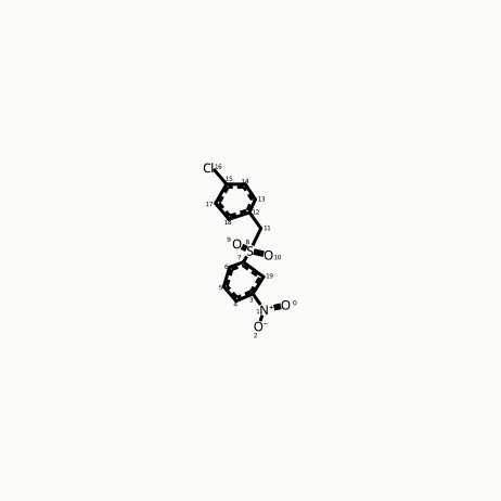 O=[N+]([O-])c1cccc(S(=O)(=O)Cc2ccc(Cl)cc2)c1